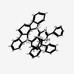 c1ccc(C2=NC(n3c4ccccc4c4ccc5c6ccccc6n(-c6ccc(-c7ccccc7)cc6)c5c43)=NC(c3ccccc3)N2)cc1